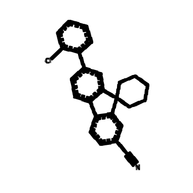 N#Cc1ccc2c(c1)C1(CCCCC1)c1cc(-c3ccccc3Cl)ccc1-2